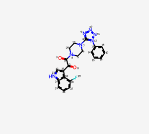 O=C(C(=O)N1CCN(c2nnnn2-c2ccccc2)CC1)c1c[nH]c2cccc(F)c12